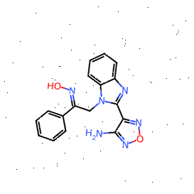 Nc1nonc1-c1nc2ccccc2n1CC(=NO)c1ccccc1